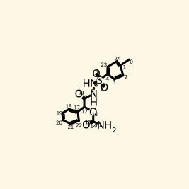 Cc1ccc(S(=O)(=O)NNC(=O)C(OC(N)=O)c2ccccc2)cc1